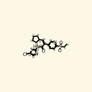 CCS(=O)(=O)c1ccc(C(=CC2CCCC2)C(=O)Nc2ncc(Cl)s2)cn1